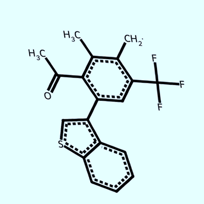 [CH2]c1c(C(F)(F)F)cc(-c2csc3ccccc23)c(C(C)=O)c1C